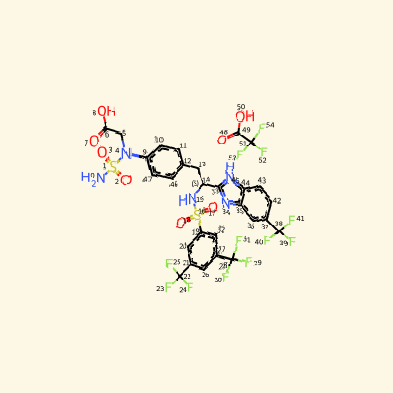 NS(=O)(=O)N(CC(=O)O)c1ccc(C[C@H](NS(=O)(=O)c2cc(C(F)(F)F)cc(C(F)(F)F)c2)c2nc3cc(C(F)(F)F)ccc3[nH]2)cc1.O=C(O)C(F)(F)F